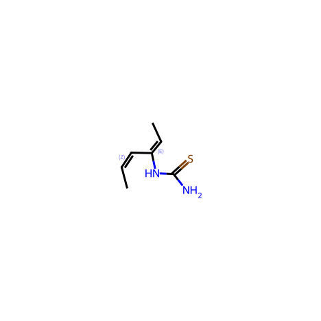 C/C=C\C(=C/C)NC(N)=S